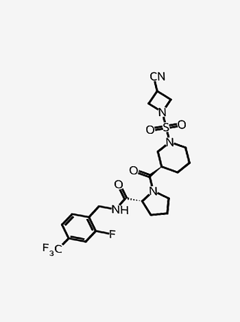 N#CC1CN(S(=O)(=O)N2CCC[C@@H](C(=O)N3CCC[C@@H]3C(=O)NCc3ccc(C(F)(F)F)cc3F)C2)C1